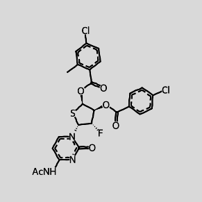 CC(=O)Nc1ccn([C@@H]2S[C@@H](OC(=O)c3ccc(Cl)cc3C)[C@@H](OC(=O)c3ccc(Cl)cc3)[C@@H]2F)c(=O)n1